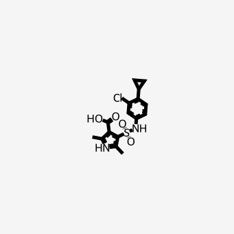 Cc1[nH]c(C)c(S(=O)(=O)Nc2ccc(C3CC3)c(Cl)c2)c1C(=O)O